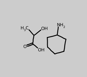 CC(O)C(=O)O.NC1CCCCC1